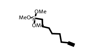 C#CCCCCCC[Si](OC)(OC)OC